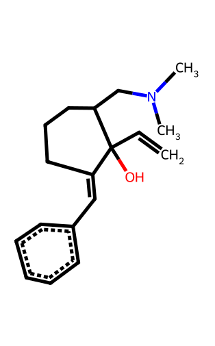 C=CC1(O)C(=Cc2ccccc2)CCCC1CN(C)C